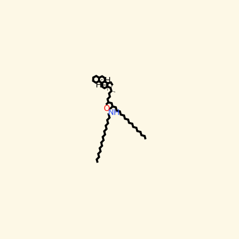 CCCCCCCCCCCCCCCCCCNC(=O)C(CCCCCCCCCCCCCCCC)CC(C)CCC[C@@H](C)[C@H]1CC[C@H]2[C@@H]3CCC4CCCC[C@]4(C)[C@H]3CC[C@]12C